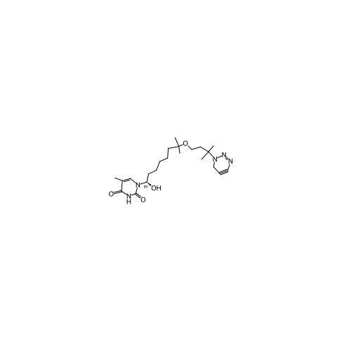 Cc1cn([C@H](O)CCCCCC(C)(C)OCCC(C)(C)N2CC#CN=N2)c(=O)[nH]c1=O